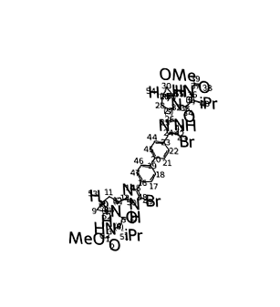 COC(=O)N[C@H](C(=O)N1[C@@H]2C[C@@H]2C[C@H]1c1nc(-c2ccc(-c3ccc(-c4nc([C@@H]5C[C@H]6C[C@H]6N5C(=O)[C@@H](NC(=O)OC)C(C)C)[nH]c4Br)cc3)cc2)c(Br)[nH]1)C(C)C